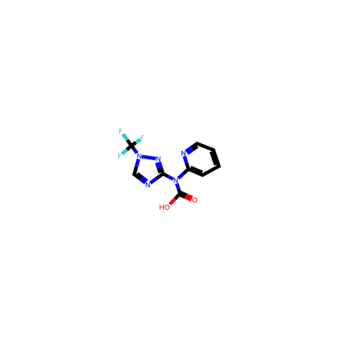 O=C(O)N(c1ccccn1)c1ncn(C(F)(F)F)n1